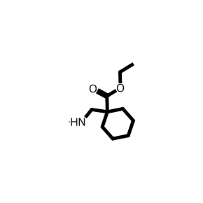 CCOC(=O)C1(C[NH])CCCCC1